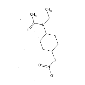 CCN(C(C)=O)C1CCC(O[N+](=O)[O-])CC1